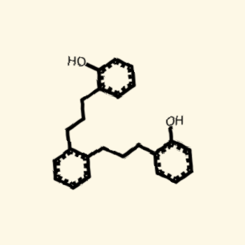 Oc1ccccc1CCCc1ccccc1CCCc1ccccc1O